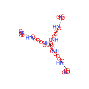 CCC(COCCC(=O)NCCOCCOCCOCCC(=O)NCCCCCCCC(=O)ON1C(=O)CCC1=O)(COCCC(=O)NCCOCCOCCOCCC(=O)NCCCCCCCC(=O)ON1C(=O)CCC1=O)COCCC(=O)NCCOCCOCCOCCC(=O)NCCCCCCCC(=O)ON1C(=O)CCC1=O